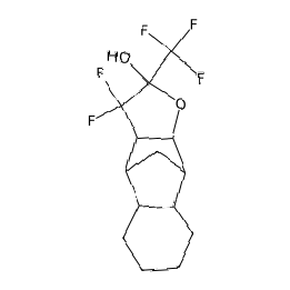 OC1(C(F)(F)F)OC2C3CC(C4CCCCC43)C2C1(F)F